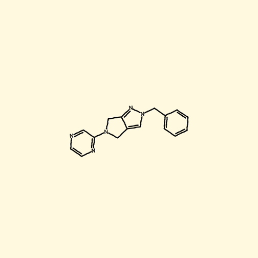 c1ccc(Cn2cc3c(n2)CN(c2cnccn2)C3)cc1